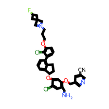 N#Cc1cncc(COc2cc(O[C@H]3CCc4c(-c5cccc(OCCCN6CC7(CC(F)C7)C6)c5Cl)cccc43)c(Cl)cc2CN)c1